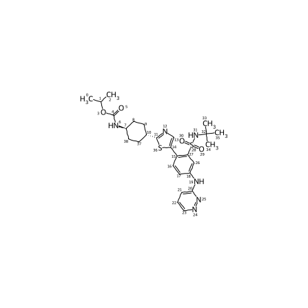 CC(C)OC(=O)N[C@H]1CC[C@H](c2ncc(-c3ccc(Nc4cccnn4)cc3S(=O)(=O)NC(C)(C)C)s2)CC1